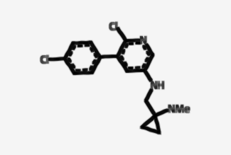 CNC1(CNc2cnc(Cl)c(-c3ccc(Cl)cc3)c2)CC1